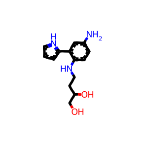 Nc1ccc(NCCC(O)CO)c(-c2ccc[nH]2)c1